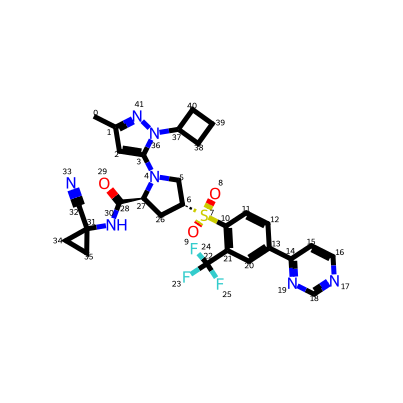 Cc1cc(N2C[C@H](S(=O)(=O)c3ccc(-c4ccncn4)cc3C(F)(F)F)C[C@H]2C(=O)NC2(C#N)CC2)n(C2CCC2)n1